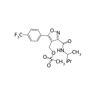 CC(C)C(C)NC(=O)c1noc(-c2ccc(C(F)(F)F)cc2)c1COS(C)(=O)=O